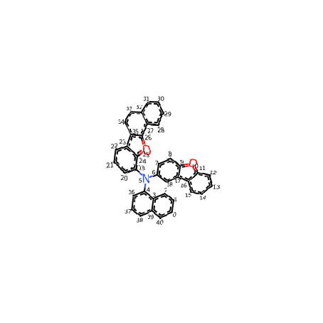 c1ccc2c(N(c3ccc4oc5ccccc5c4c3)c3cccc4c3oc3c5ccccc5ccc43)cccc2c1